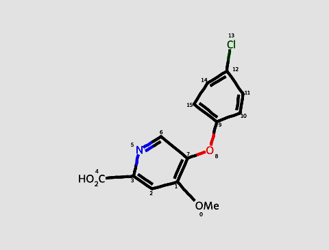 COc1cc(C(=O)O)ncc1Oc1ccc(Cl)cc1